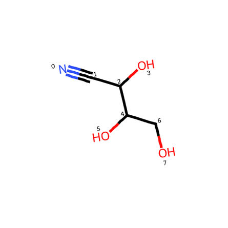 N#CC(O)C(O)CO